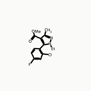 CCn1nc(C)c(C(=O)OC)c1-c1ccc(F)cc1Cl